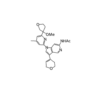 COC1(c2cc(C)cc(-n3cc(C4=CCOCC4)c4cnc(NC(C)=O)cc43)n2)CCOC1